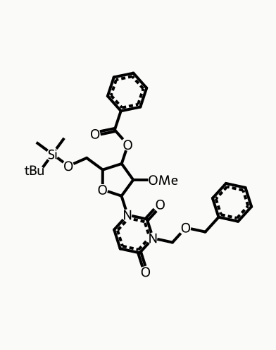 COC1C(OC(=O)c2ccccc2)C(CO[Si](C)(C)C(C)(C)C)OC1n1ccc(=O)n(COCc2ccccc2)c1=O